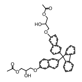 CC(=O)OCC(O)COc1ccc2cc(C3(c4ccc5cc(OCC(O)COC(C)=O)ccc5c4)c4ccccc4-c4ccccc43)ccc2c1